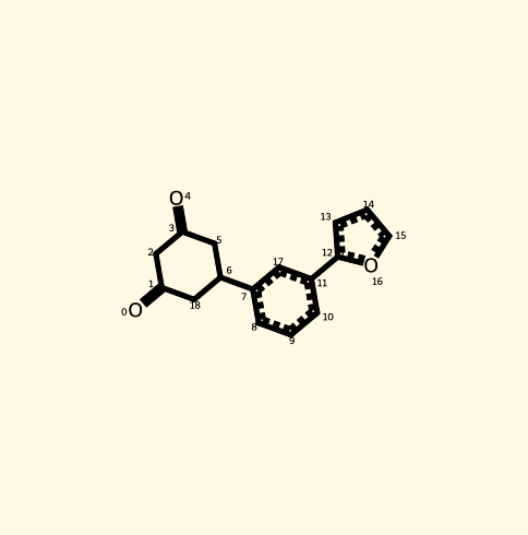 O=C1CC(=O)CC(c2cccc(-c3ccco3)c2)C1